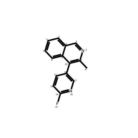 Cc1ncc2ccccc2c1-c1ccc(F)nc1